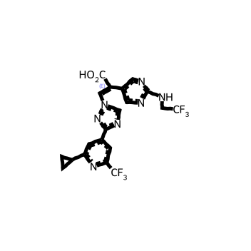 O=C(O)/C(=C/n1cnc(-c2cc(C3CC3)nc(C(F)(F)F)c2)n1)c1cnc(NCC(F)(F)F)nc1